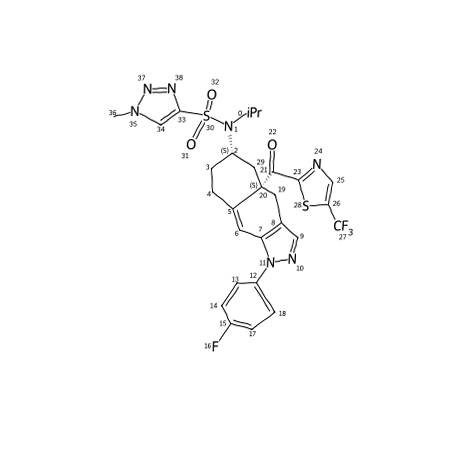 CC(C)N([C@H]1CCC2=Cc3c(cnn3-c3ccc(F)cc3)C[C@]2(C(=O)c2ncc(C(F)(F)F)s2)C1)S(=O)(=O)c1cn(C)nn1